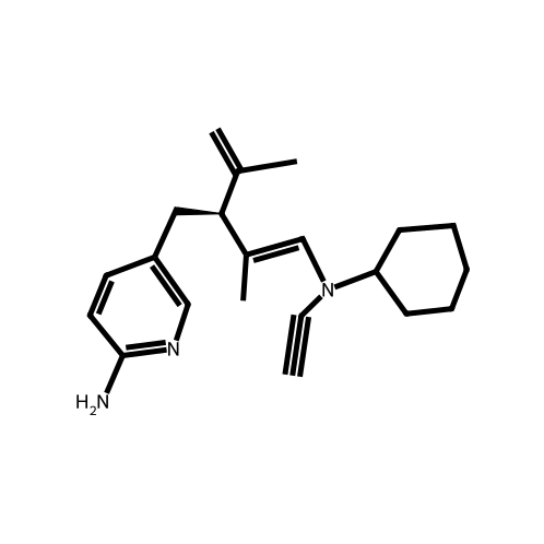 C#CN(/C=C(\C)[C@@H](Cc1ccc(N)nc1)C(=C)C)C1CCCCC1